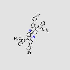 Cc1cc(-c2c3cc(-c4ccc(C(C)C)cc4)ccc3c3nc4ccc5c(-c6cc(C)c7ccccc7c6)c6cc(-c7ccc(C(C)C)cc7)ccc6c6nc7ccc2c3c7c4c56)cc2ccccc12